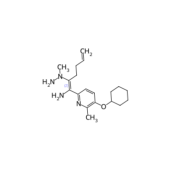 C=CCC/C(=C(/N)c1ccc(OC2CCCCC2)c(C)n1)N(C)N